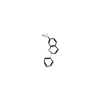 Cc1ccc2c(c1)O[C@@H](c1ccccc1)C=C2